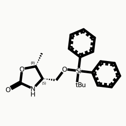 C[C@H]1OC(=O)N[C@H]1CO[Si](c1ccccc1)(c1ccccc1)C(C)(C)C